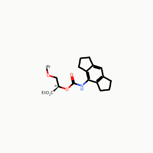 CCOC(=O)[C@@H](COC(C)C)OC(=O)Nc1c2c(cc3c1CCC3)CCC2